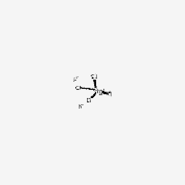 [Cl][Hg-2]([Cl])([Cl])[Cl].[K+].[K+]